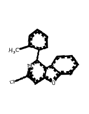 Cc1ccccc1-c1nc(Cl)cc2oc3ccccc3c12